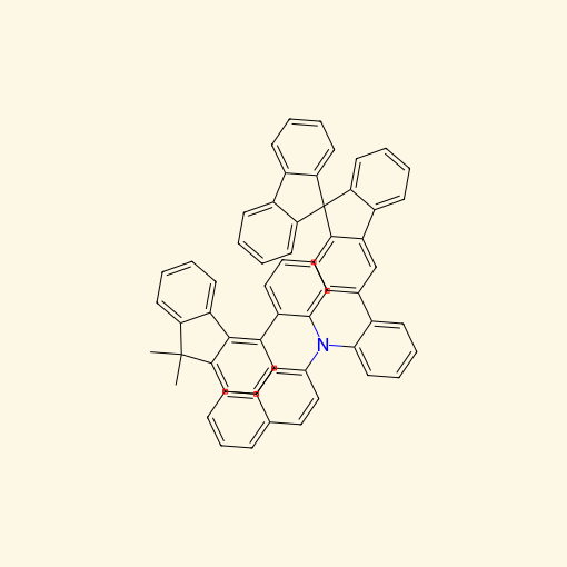 CC1(C)c2ccccc2-c2c(-c3ccccc3N(c3ccc4ccccc4c3)c3ccccc3-c3ccc4c(c3)-c3ccccc3C43c4ccccc4-c4ccccc43)cccc21